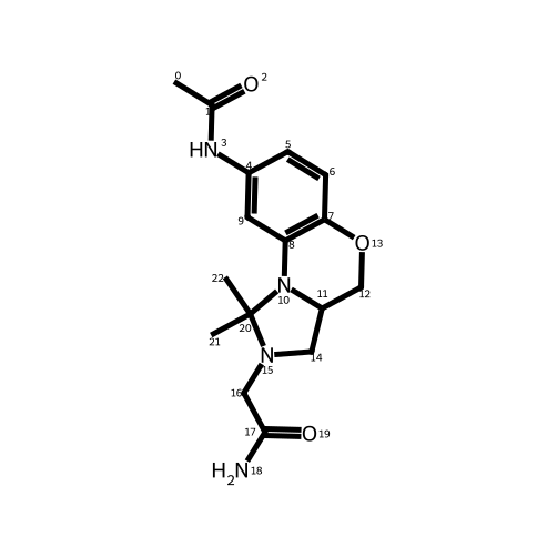 CC(=O)Nc1ccc2c(c1)N1C(CO2)CN(CC(N)=O)C1(C)C